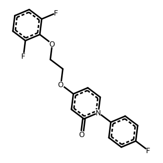 O=c1cc(OCCOc2c(F)cccc2F)ccn1-c1ccc(F)cc1